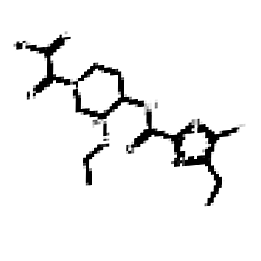 CCO[C@H]1CN(C(=O)C(=O)O)CCC1NC(=O)c1nc(Cl)c(CC)[nH]1